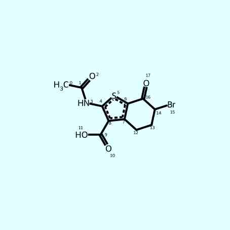 CC(=O)Nc1sc2c(c1C(=O)O)CCC(Br)C2=O